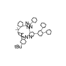 CC(C)(C)c1ccc2c(c1)c1cc3ccc1n2-c1ncc(-c2ccc(-c4ccccc4)c(-c4ccccc4)c2)cc1-c1nc(-c2ccccc2)nc(n1)-c1ccccc1C3(C)C